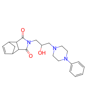 O=C1C2C3C=CC(C3)C2C(=O)N1CC(O)CN1CCN(c2ccccc2)CC1